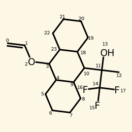 C=COC1C2CCCCC2C(C(C)(O)C(F)(F)F)C2CCCCC21